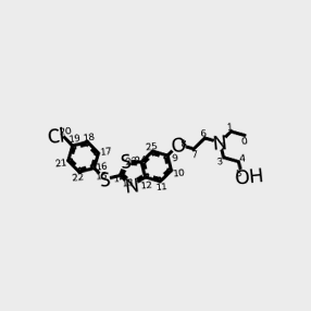 CCN(CCO)CCOc1ccc2nc(Sc3ccc(Cl)cc3)sc2c1